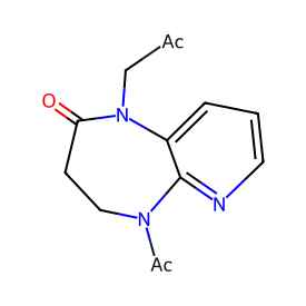 CC(=O)CN1C(=O)CCN(C(C)=O)c2ncccc21